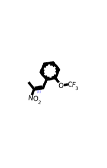 C/C(=C\c1ccccc1OC(F)(F)F)[N+](=O)[O-]